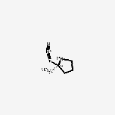 [N-]=[N+]=N[C@]1(C(=O)O)CCCN1